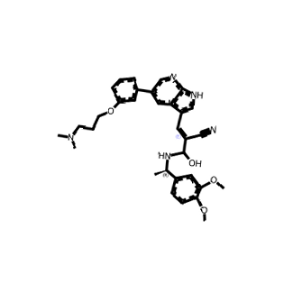 COc1ccc([C@@H](C)NC(O)/C(C#N)=C/c2c[nH]c3ncc(-c4cccc(OCCCN(C)C)c4)cc23)cc1OC